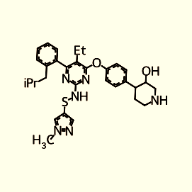 CCc1c(Oc2ccc(C3CCNCC3O)cc2)nc(NSc2cnn(C)c2)nc1-c1ccccc1CC(C)C